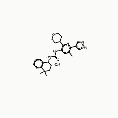 Cc1cc(NC(=O)N[C@@H]2c3ccccc3C(C)(C)C[C@H]2O)c(C2CCOCC2)nc1-c1cn[nH]c1